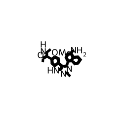 COc1cc2c(cc1C1=C(C)ONC1C)[nH]c1nc(C)nc(-c3ccc(N)c4ccccc34)c12